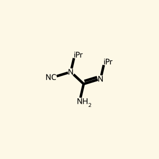 CC(C)N=C(N)N(C#N)C(C)C